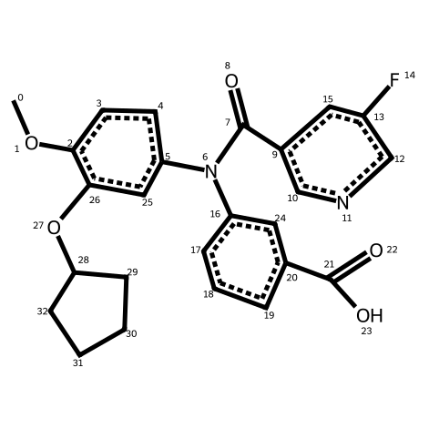 COc1ccc(N(C(=O)c2cncc(F)c2)c2cccc(C(=O)O)c2)cc1OC1CCCC1